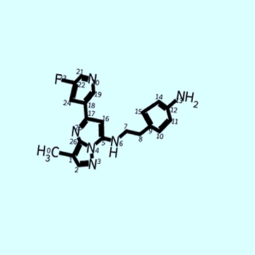 Cc1cnn2c(NCCc3ccc(N)cc3)cc(-c3cncc(F)c3)nc12